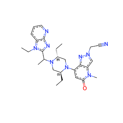 CC[C@H]1CN(C(C)c2nc3ncccc3n2CC)[C@H](CC)CN1c1cc(=O)n(C)c2cn(CC#N)nc12